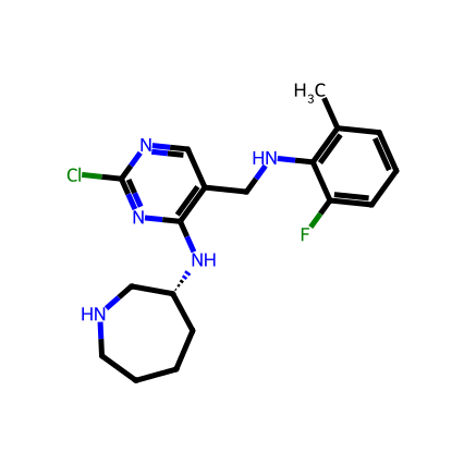 Cc1cccc(F)c1NCc1cnc(Cl)nc1N[C@@H]1CCCCNC1